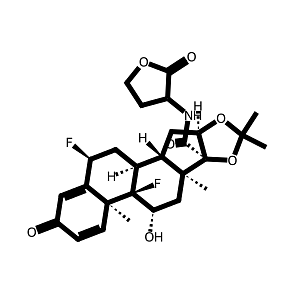 CC1(C)O[C@@H]2C[C@H]3[C@@H]4C[C@H](F)C5=CC(=O)C=C[C@]5(C)[C@@]4(F)[C@@H](O)C[C@]3(C)[C@]2(C(=O)NC2CCOC2=O)O1